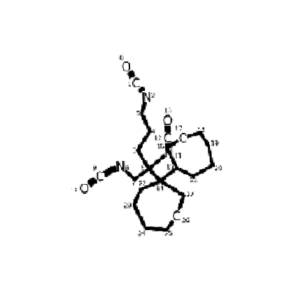 O=C=NCCCC(CN=C=O)(N=C=O)C1(C2CCCCCC2)CCCCCC1